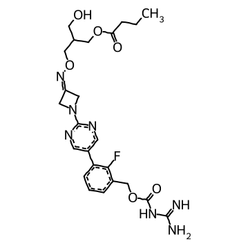 CCCC(=O)OCC(CO)CON=C1CN(c2ncc(-c3cccc(COC(=O)NC(=N)N)c3F)cn2)C1